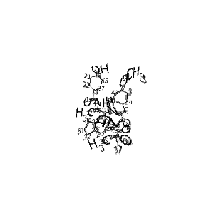 COc1ccc(C[C@H](NC(=O)[C@@H](C)NC(=O)[C@H]2CC[C@H](O)CC2)C(=O)N[C@@H](CC2CC=CC2)C(=O)[C@@]2(C)CO2)cc1